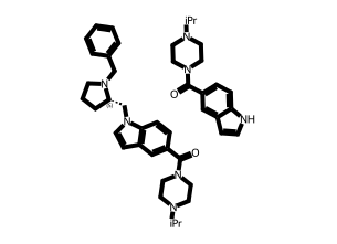 CC(C)N1CCN(C(=O)c2ccc3[nH]ccc3c2)CC1.CC(C)N1CCN(C(=O)c2ccc3c(ccn3C[C@@H]3CCCN3Cc3ccccc3)c2)CC1